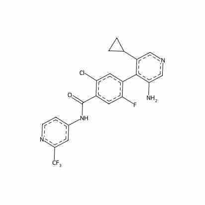 Nc1cncc(C2CC2)c1-c1cc(Cl)c(C(=O)Nc2ccnc(C(F)(F)F)c2)cc1F